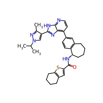 Cc1nn(C(C)C)cc1-c1nc2c(-c3ccc4c(c3)CCCC[C@H]4NC(=O)c3cc4c(s3)CCCC4)ccnc2[nH]1